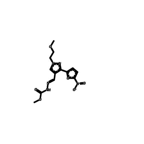 COCCn1cc(/C=N/NC(=O)OC)c(-c2ccc([N+](=O)[O-])o2)n1